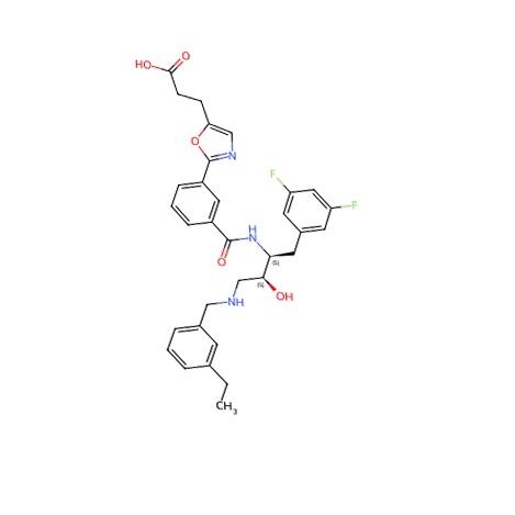 CCc1cccc(CNC[C@H](O)[C@H](Cc2cc(F)cc(F)c2)NC(=O)c2cccc(-c3ncc(CCC(=O)O)o3)c2)c1